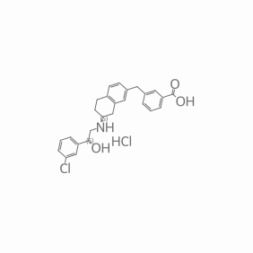 Cl.O=C(O)c1cccc(Cc2ccc3c(c2)C[C@@H](NC[C@@H](O)c2cccc(Cl)c2)CC3)c1